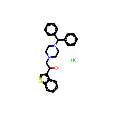 Cl.OC(CN1CCN(C(c2ccccc2)c2ccccc2)CC1)c1csc2ccccc12